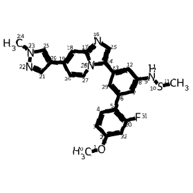 COc1ccc(-c2cc(NSC)cc(-c3cnc4cc(-c5cnn(C)c5)ccn34)c2)c(F)c1